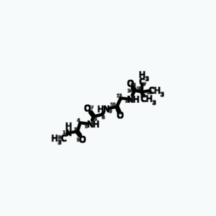 CNC(=O)CNC(=O)CNC(=O)CNC(=O)C(C)(C)C